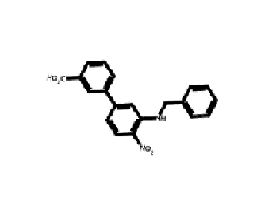 O=C(O)c1cccc(-c2ccc([N+](=O)[O-])c(NCc3ccccc3)c2)c1